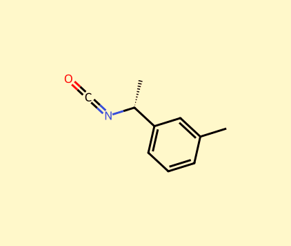 Cc1cccc([C@@H](C)N=C=O)c1